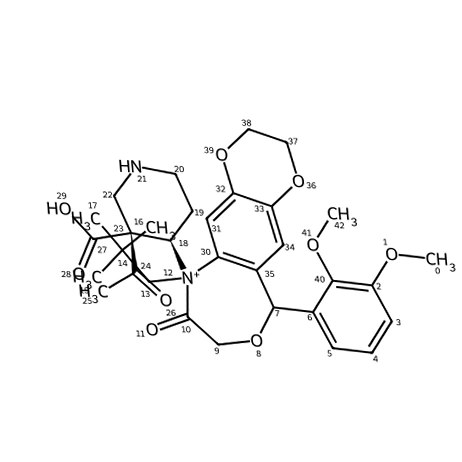 COc1cccc(C2OCC(=O)[N+](CC(C)(C)C)([C@@H]3CCNC[C@@]3(C(C)=O)C(=O)O)c3cc4c(cc32)OCCO4)c1OC